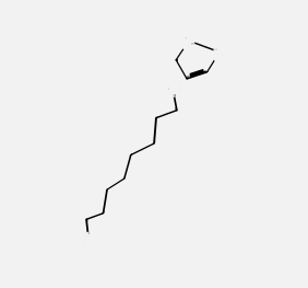 C1=CSSC1.CCCCCCCCCC